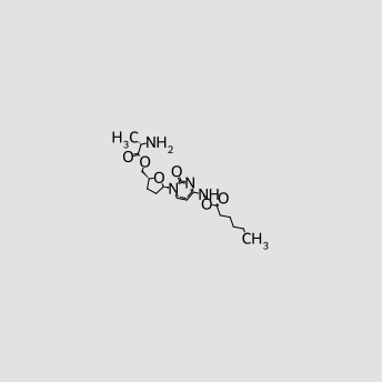 CCCCCC(=O)ONc1ccn([C@H]2CC[C@@H](COC(=O)[C@H](C)N)O2)c(=O)n1